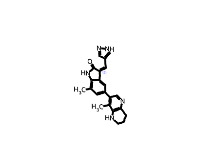 Cc1cc(-c2cnc3c(c2C)NCCC3)cc2c1NC(=O)/C2=C\c1cn[nH]c1